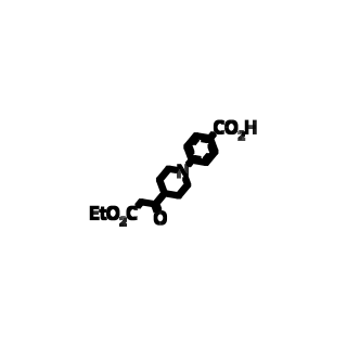 CCOC(=O)CC(=O)C1CCN(c2ccc(C(=O)O)cc2)CC1